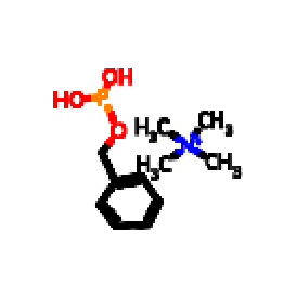 C[N+](C)(C)C.OP(O)OCc1ccccc1